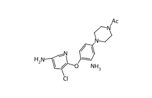 CC(=O)N1CCN(c2ccc(Oc3ncc(N)cc3Cl)cc2)CC1.N